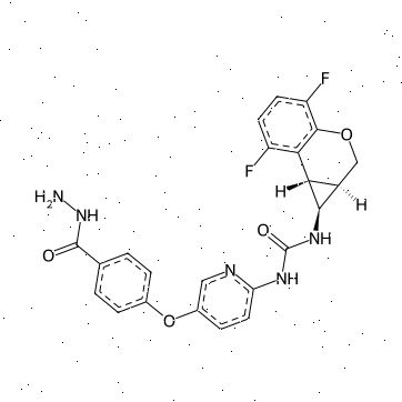 NNC(=O)c1ccc(Oc2ccc(NC(=O)N[C@@H]3[C@@H]4COc5c(F)ccc(F)c5[C@H]43)nc2)cc1